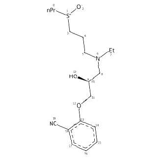 CCC[S+]([O-])CCCN(CC)C[C@H](O)COc1ccccc1C#N